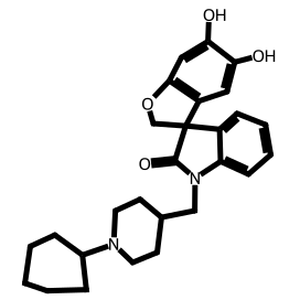 O=C1N(CC2CCN(C3CCCCC3)CC2)c2ccccc2C12COc1cc(O)c(O)cc12